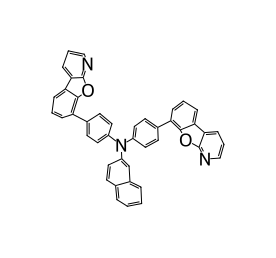 c1ccc2cc(N(c3ccc(-c4cccc5c4oc4ncccc45)cc3)c3ccc(-c4cccc5c4oc4ncccc45)cc3)ccc2c1